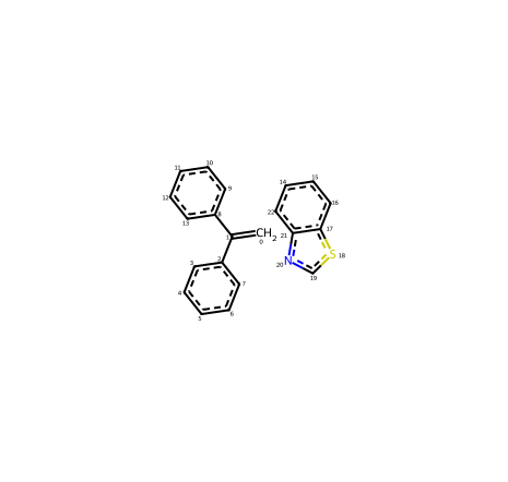 C=C(c1ccccc1)c1ccccc1.c1ccc2scnc2c1